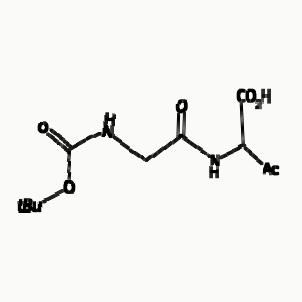 CC(=O)C(NC(=O)CNC(=O)OC(C)(C)C)C(=O)O